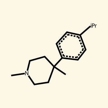 CC(C)c1ccc(C2(C)CCN(C)CC2)cc1